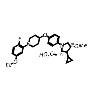 CCOc1ccc(F)c(N2CCC(Oc3ccc(N4C[C@H](OC)C(C5CC5)[C@@H]4CC(=O)O)cc3)CC2)c1